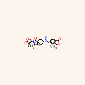 CC1=C(N2CC3C4C[C@@H](NCc5ccc6c(c5C)COC6=O)CC[C@@]43C2=O)COC1=O